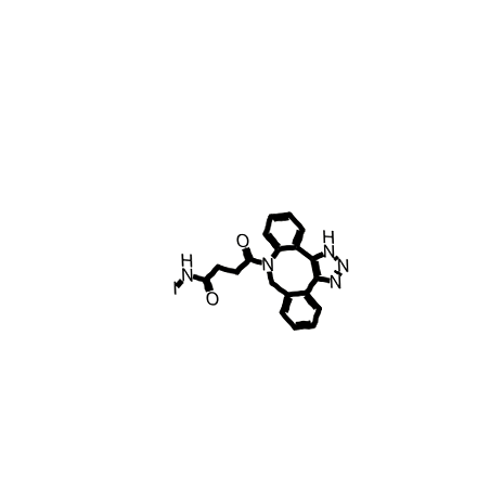 O=C(CCC(=O)N1Cc2ccccc2-c2nn[nH]c2-c2ccccc21)NI